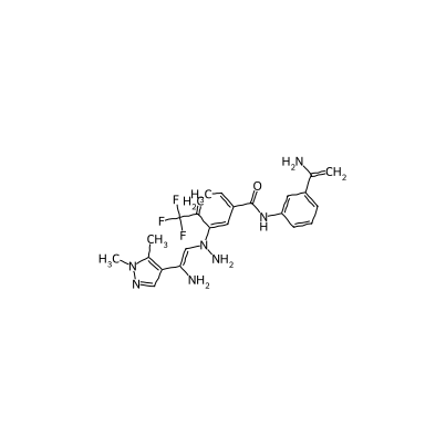 C=C(N)c1cccc(NC(=O)C(=C/C)/C=C(\C(=C)C(F)(F)F)N(N)/C=C(\N)c2cnn(C)c2C)c1